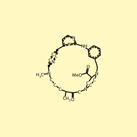 COC(=O)C1CN2CCN1Cc1cccc(c1)Nc1nccc(n1)-c1ccc(nc1)N(C)CCCC(C)C(=O)C2